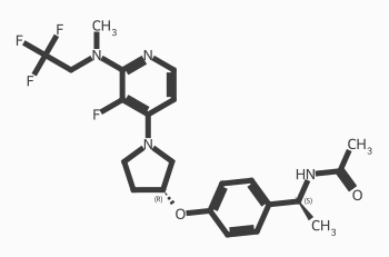 CC(=O)N[C@@H](C)c1ccc(O[C@@H]2CCN(c3ccnc(N(C)CC(F)(F)F)c3F)C2)cc1